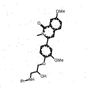 COc1ccc2cc(-c3ccc(OCC(O)CNC(C)C)c(OC)c3)n(C)c(=O)c2c1